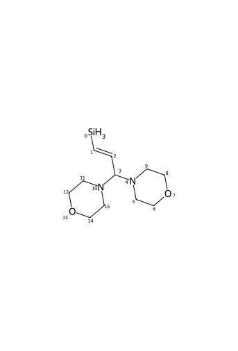 [SiH3]C=CC(N1CCOCC1)N1CCOCC1